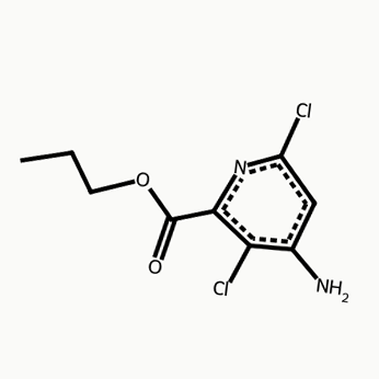 CCCOC(=O)c1nc(Cl)cc(N)c1Cl